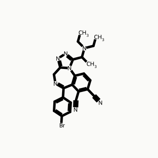 CCN(CC)C(C)c1nnc2n1-c1ccc(C#N)c(C#N)c1C(c1ccc(Br)cc1)=NC2